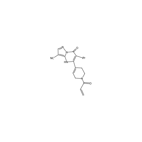 C=CC(=O)N1CC=C(c2[nH]c3c(C#N)cnn3c(=O)c2C(C)C)CC1